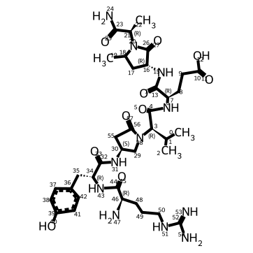 CC(C)[C@H](C(=O)N[C@H](CCC(=O)O)C(=O)N[C@@H]1CC(C)N([C@H](C)C(N)=O)C1=O)N1C[C@@H](NC(=O)[C@@H](Cc2ccc(O)cc2)NC(=O)[C@H](N)CCCNC(=N)N)CC1=O